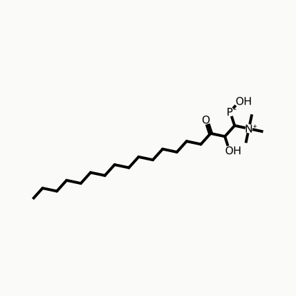 CCCCCCCCCCCCCCCC(=O)C(O)C([P-]O)[N+](C)(C)C